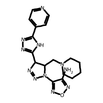 Nc1nonc1N1N=NC(c2nnc(-c3ccncc3)[nH]2)C1CN1CCCCC1